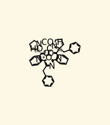 O=C(O)N1CCC[C@H]1C(=O)[N+]1(c2oc([N+]3(C(=O)[C@@]4(Cc5ccccc5)CCCN4C(=O)O)C4=CC=C3C=C4)nc2Cc2ccccc2)C2=CC=C1C=C2